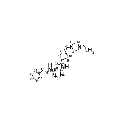 CCN1CCN(Cc2ccc(-c3cc4c(NCCc5ccccc5)ncnc4[nH]3)cc2)CC1